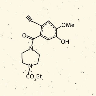 C#Cc1cc(OC)c(O)cc1C(=O)N1CCN(C(=O)OCC)CC1